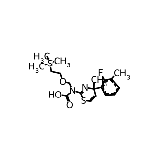 Cc1cccc(C2(C)C=CSC(N(COCC[Si](C)(C)C)C(=O)O)=N2)c1F